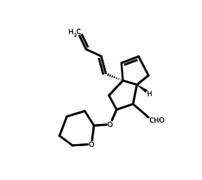 C=CC=C[C@]12C=CC[C@@H]1C(C=O)C(OC1CCCCO1)C2